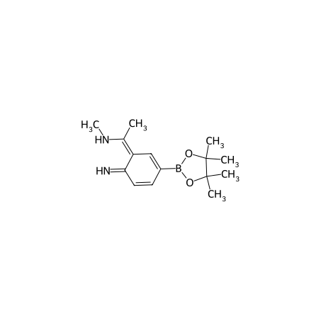 CN/C(C)=C1/C=C(B2OC(C)(C)C(C)(C)O2)C=CC1=N